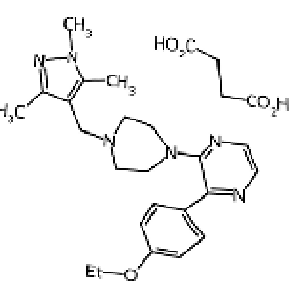 CCOc1ccc(-c2nccnc2N2CCN(Cc3c(C)nn(C)c3C)CC2)cc1.O=C(O)CCC(=O)O